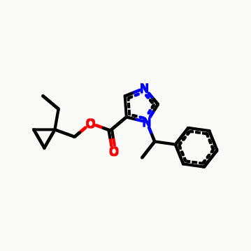 CCC1(COC(=O)c2cncn2C(C)c2ccccc2)CC1